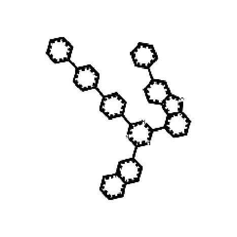 c1ccc(-c2ccc(-c3ccc(-c4nc(-c5ccc6ccccc6c5)nc(-c5cccc6oc7cc(-c8ccccc8)ccc7c56)n4)cc3)cc2)cc1